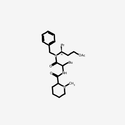 CCC(C)C(NC(=O)C1CCCCN1C)C(=O)N(Cc1ccccc1)[C@H](CCOC(C)=O)C(C)C